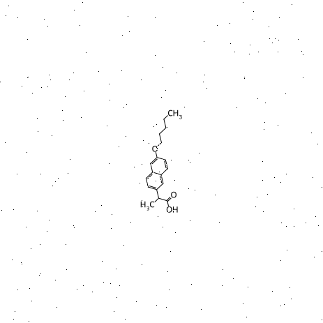 CCCCCOc1ccc2cc(C(C)C(=O)O)ccc2c1